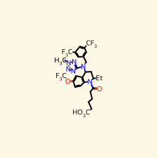 CCC1CC(N(Cc2cc(C(F)(F)F)cc(C(F)(F)F)c2)c2nnn(C)n2)c2cc(OC(F)(F)F)ccc2N1C(=O)CCCCC(=O)O